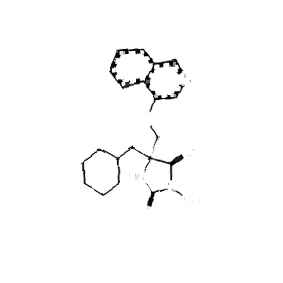 CN1C(=O)N[C@](COc2cncc3ccccc23)(CC2CCCCC2)C1=O